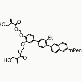 C=C(CO)C(=O)OCOc1ccc(-c2ccc(-c3ccc4cc(CCCCC)ccc4c3)c(CC)c2)cc1OCOC(=O)C(=C)CO